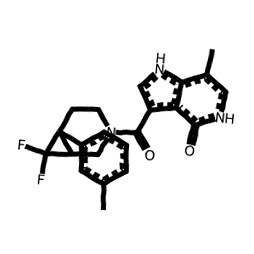 Cc1cccc(C23CCN(C(=O)c4c[nH]c5c(C)c[nH]c(=O)c45)CC2C3(F)F)c1